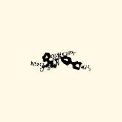 COC(=O)c1sc2cnc(Nc3ccc(C4CCN(C)CC4)cc3OC(C)C)nc2c1-c1ccccc1OC